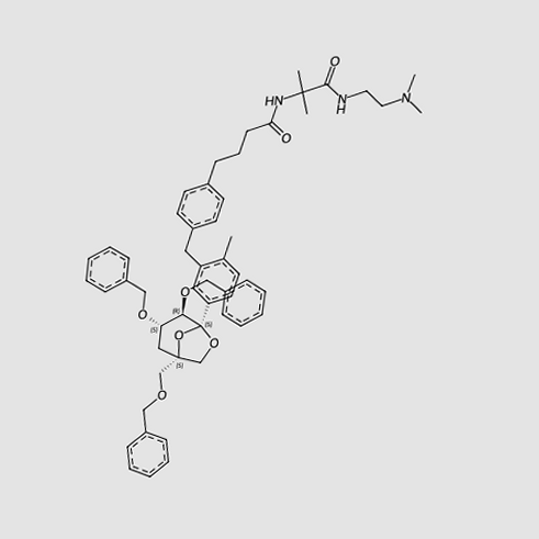 Cc1ccc([C@@]23OC[C@@](COCc4ccccc4)(C[C@H](OCc4ccccc4)[C@H]2OCc2ccccc2)O3)cc1Cc1ccc(CCCC(=O)NC(C)(C)C(=O)NCCN(C)C)cc1